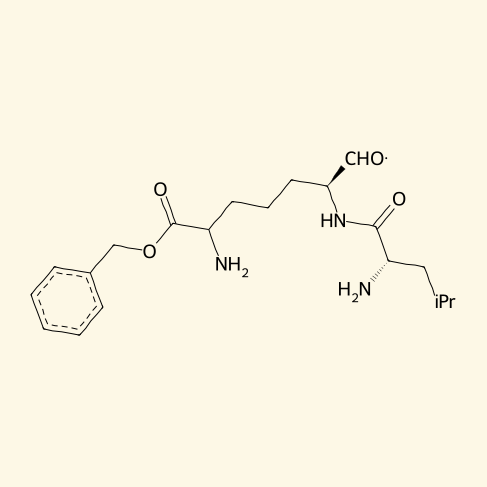 CC(C)C[C@H](N)C(=O)N[C@H]([C]=O)CCCC(N)C(=O)OCc1ccccc1